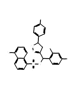 Nc1cccc2c(S(=O)(=O)NC(C3=NNC(c4ccc(Cl)cc4)C3)c3ccc(Cl)cc3Cl)cccc12